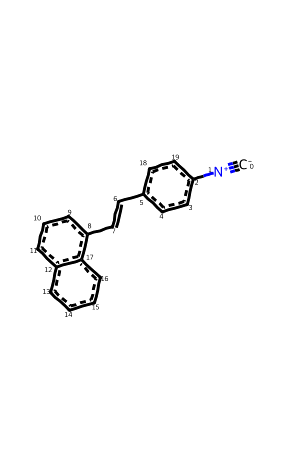 [C-]#[N+]c1ccc(C=Cc2cccc3ccccc23)cc1